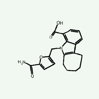 NC(=O)c1ccc(Cn2c3c(c4cccc(C(=O)O)c42)CCCCC3)o1